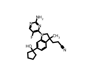 CC1(CCC#N)CN(c2nc(N)ncc2F)c2cc(C3(O)CCCC3)ccc21